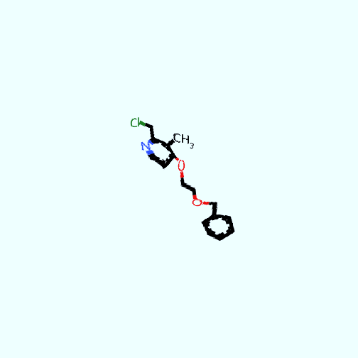 Cc1c(OCCOCc2ccccc2)ccnc1CCl